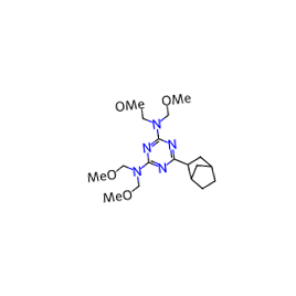 COCN(COC)c1nc(C2CC3CCC2C3)nc(N(COC)COC)n1